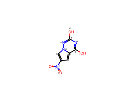 O=[N+]([O-])c1cc2c(O)nc(O)nn2c1